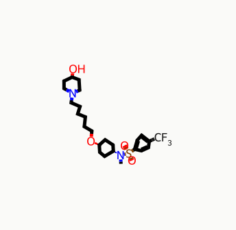 CN([C@H]1CC[C@H](OCCCCCCN2CCC(O)CC2)CC1)S(=O)(=O)c1ccc(C(F)(F)F)cc1